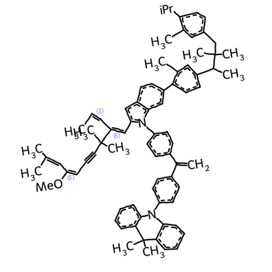 C=C(c1ccc(N2c3ccccc3C(C)(C)c3ccccc32)cc1)c1ccc(-n2c(/C=C(\C=C/C)C(C)(C)C#C/C=C(\C=C(C)C)OC)cc3ccc(-c4ccc(C(C)C(C)(C)Cc5ccc(C(C)C)c(C)c5)cc4C)cc32)cc1